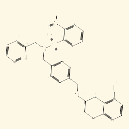 O=[N+]([O-])c1ccccc1S(=O)(=O)N(Cc1ccc(CNC2CCc3cccc(F)c3C2)cc1)Cc1ccccn1